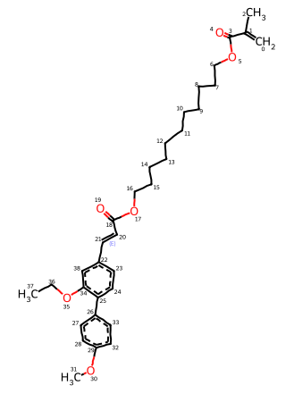 C=C(C)C(=O)OCCCCCCCCCCCOC(=O)/C=C/c1ccc(-c2ccc(OC)cc2)c(OCC)c1